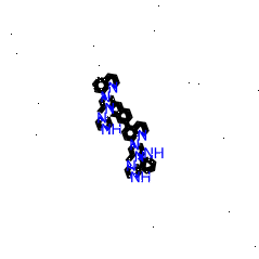 c1cnc2c(c1)CCC[C@@H]2N(CCCN1CCNCC1)Cc1cc2ccc(C3CC[C@H](N(CCCN4CCNCC4)Cc4nc5ccccc5[nH]4)c4ncccc43)cc2cn1